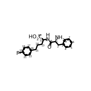 N[C@@H](Cc1ccccc1)C(=O)NC(CCCc1ccc(F)cc1)C(=O)O